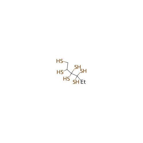 CCC(S)(S)C(S)(S)C(S)CS